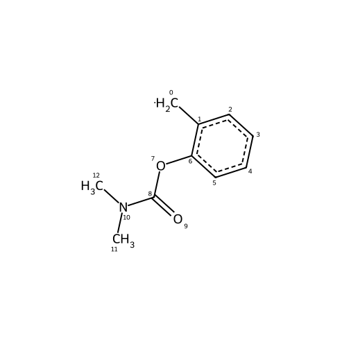 [CH2]c1ccccc1OC(=O)N(C)C